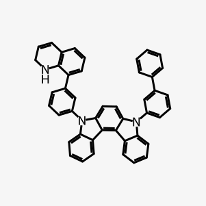 C1=Cc2cccc(-c3cccc(-n4c5ccccc5c5c6c7ccccc7n(-c7cccc(-c8ccccc8)c7)c6ccc54)c3)c2NC1